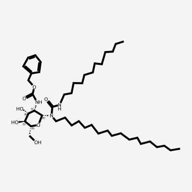 CCCCCCCCCCCCCCCCCCN(C(=O)NCCCCCCCCCCCC)[C@@H]1O[C@H](CO)[C@@H](O)[C@H](O)[C@@H]1NC(=O)OCc1ccccc1